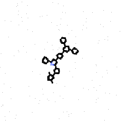 Cc1ccc(C)c(-c2cccc(-c3cc(-c4ccc(-c5cc(-c6ccccc6)cc(-c6ccccc6)c5)cc4)cc(-c4ccccc4)n3)c2)c1